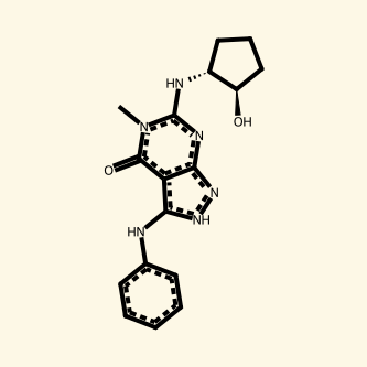 Cn1c(N[C@@H]2CCC[C@H]2O)nc2n[nH]c(Nc3ccccc3)c2c1=O